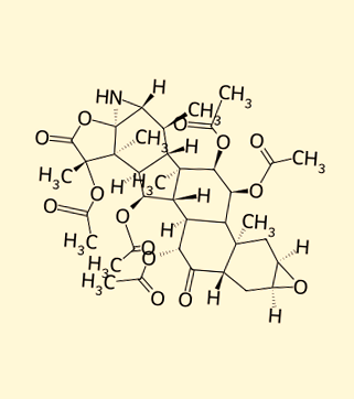 CC(=O)O[C@@H]1[C@H]2[C@H]3C([C@H](OC(C)=O)[C@H](OC(C)=O)[C@]2(C)[C@H]2[C@H](C)[C@H]4N[C@]45OC(=O)[C@@](C)(OC(C)=O)[C@]5(C)[C@H]12)[C@@]1(C)C[C@H]2O[C@H]2C[C@@H]1C(=O)[C@@H]3OC(C)=O